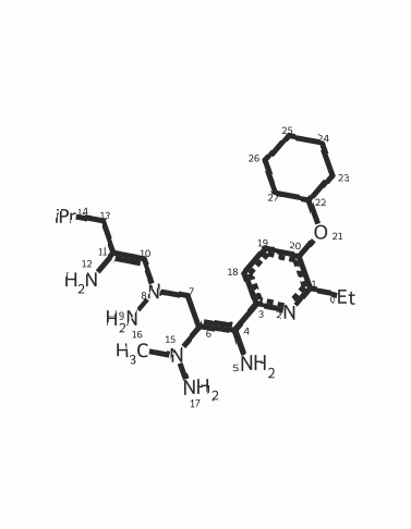 CCc1nc(/C(N)=C(\CN(N)/C=C(\N)CC(C)C)N(C)N)ccc1OC1CCCCC1